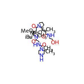 CC[C@H](C)[C@@H]([C@@H](CC(=O)N1CCC[C@H]1[C@H](OC)[C@@H](C)C(=O)NCCO)OC)N(C)C(=O)CNC(=O)N1CCNCC1(C)C